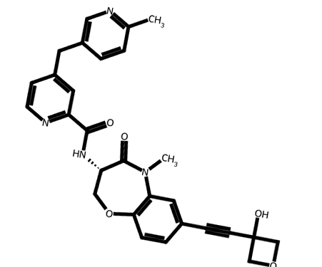 Cc1ccc(Cc2ccnc(C(=O)N[C@H]3COc4ccc(C#CC5(O)COC5)cc4N(C)C3=O)c2)cn1